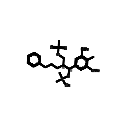 COc1cc([C@@H](O[Si](C)(C)C(C)(C)C)[C@@H](CCCc2ccccc2)COS(C)(=O)=O)cc(OC)c1C